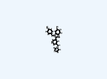 Fc1ccc(Cn2c(-c3cncc(Cn4ccnc4)c3)nc3ccc(I)cc32)cc1